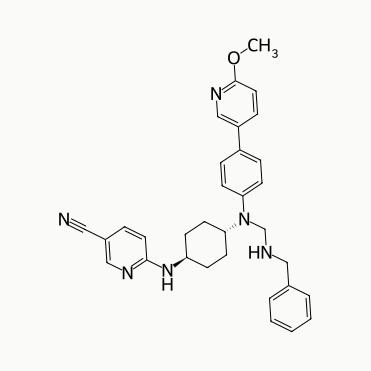 COc1ccc(-c2ccc(N(CNCc3ccccc3)[C@H]3CC[C@H](Nc4ccc(C#N)cn4)CC3)cc2)cn1